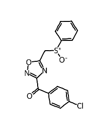 O=C(c1ccc(Cl)cc1)c1noc(C[S+]([O-])c2ccccc2)n1